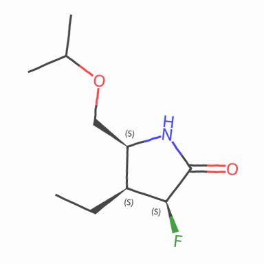 CC[C@@H]1[C@H](F)C(=O)N[C@@H]1COC(C)C